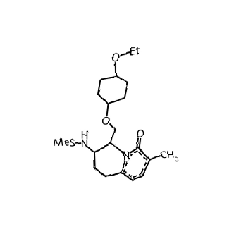 CCOC1CCC(OCC2C(NSC)CCc3ccc(C)c(=O)n32)CC1